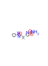 CC1(C)[C@@H](c2ccc(S(N)(=O)=O)nc2)[C@@H]1c1nc(-c2ccccc2)no1